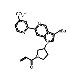 C=CC(=O)N1CCC(n2cc(CCCC)c3cnc(-c4cc(C(=O)O)ccn4)cc32)C1